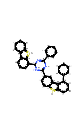 c1ccc(C2=NC(c3cccc4c3sc3ccccc34)NC(c3ccc4sc5cccc(-c6ccccc6)c5c4c3)=N2)cc1